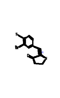 O=C1CCS/C1=C/c1ccc(F)c(Br)c1